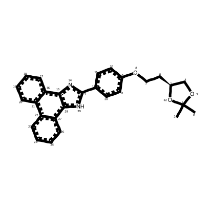 CC1(C)OC[C@H](CCOc2ccc(-c3nc4c5ccccc5c5ccccc5c4[nH]3)cc2)O1